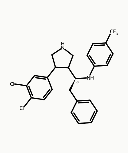 FC(F)(F)c1ccc(N[C@@H](Cc2ccccc2)C2CNCC2c2ccc(Cl)c(Cl)c2)cc1